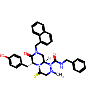 CN1CC(=S)N2[C@H](Cc3ccc(O)cc3)C(=O)N(Cc3cccc4ccccc34)C[C@H]2N1C(=O)NCc1ccccc1